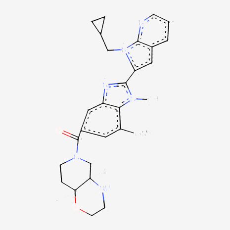 COc1cc(C(=O)N2CC[C@@H]3OCCN[C@@H]3C2)cc2nc(-c3cc4cccnc4n3CC3CC3)n(C)c12